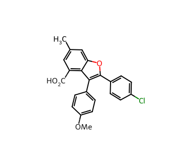 COc1ccc(-c2c(-c3ccc(Cl)cc3)oc3cc(C)cc(C(=O)O)c23)cc1